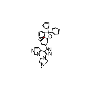 Cc1cc(OC(c2ccccc2)(c2ccccc2)c2ccccc2)cc(-c2nn(C)c(N3CCN(C)CC3)c2-c2ccncn2)c1